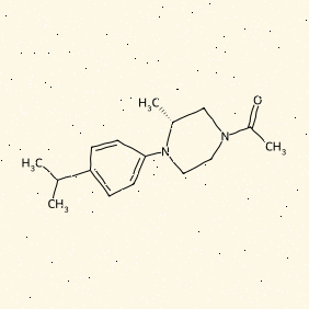 CC(=O)N1CCN(c2ccc(C(C)C)cc2)[C@H](C)C1